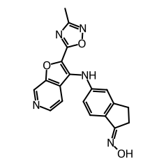 Cc1noc(-c2oc3cnccc3c2Nc2ccc3c(c2)CCC3=NO)n1